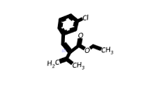 C=C(C)/C(=C/c1cccc(Cl)c1)C(=O)OCC